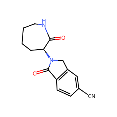 N#Cc1ccc2c(c1)CN([C@H]1CCCCNC1=O)C2=O